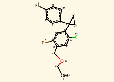 CCc1ccc(C2(c3cc(Br)c(COCOC)cc3Cl)CC2)cc1